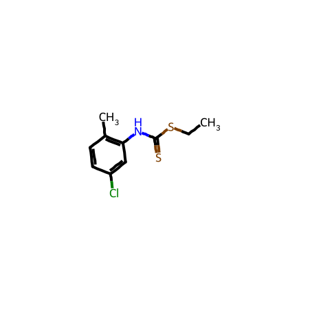 CCSC(=S)Nc1cc(Cl)ccc1C